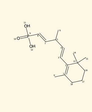 CC1=C(C=CC(C)C=CP(=O)(O)O)C(C)(C)CCC1